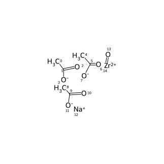 CC(=O)[O-].CC(=O)[O-].CC(=O)[O-].[Na+].[O]=[Zr+2]